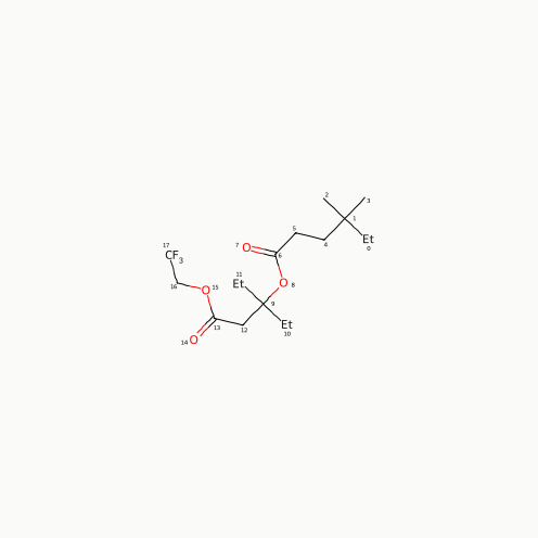 CCC(C)(C)CCC(=O)OC(CC)(CC)CC(=O)OCC(F)(F)F